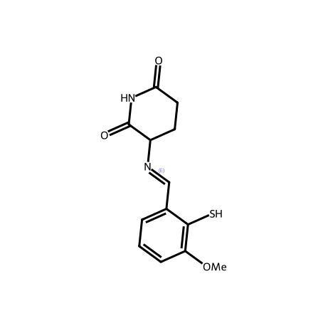 COc1cccc(/C=N/C2CCC(=O)NC2=O)c1S